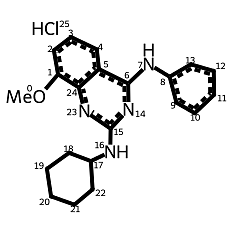 COc1cccc2c(Nc3ccccc3)nc(NC3CCCCC3)nc12.Cl